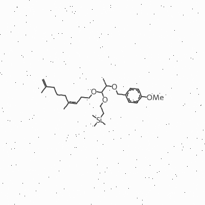 C=C(C)CCCC(C)=CCCOC(OCC[Si](C)(C)C)C(C)OCc1ccc(OC)cc1